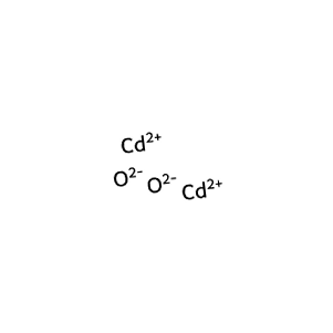 [Cd+2].[Cd+2].[O-2].[O-2]